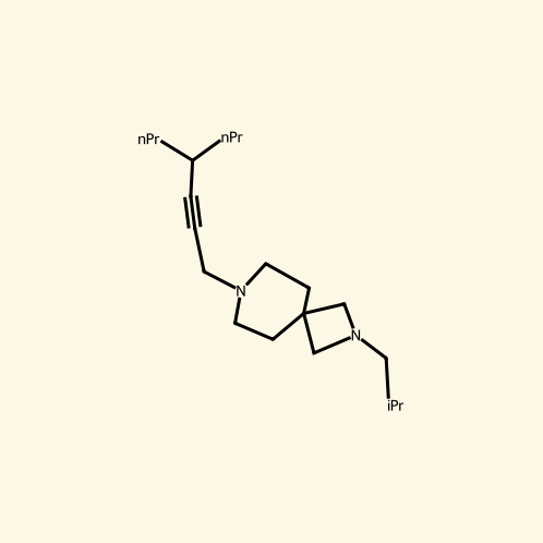 CCCC(C#CCN1CCC2(CC1)CN(CC(C)C)C2)CCC